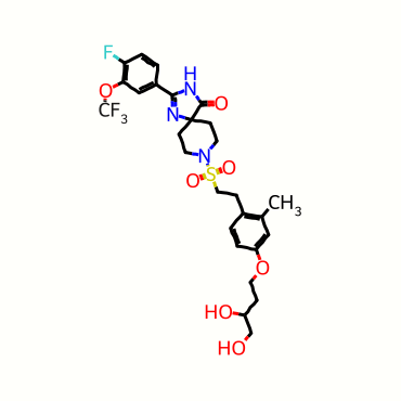 Cc1cc(OCCC(O)CO)ccc1CCS(=O)(=O)N1CCC2(CC1)N=C(c1ccc(F)c(OC(F)(F)F)c1)NC2=O